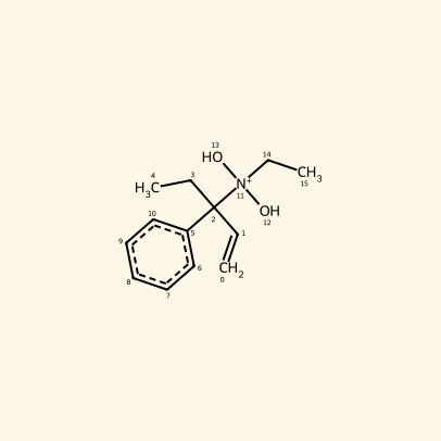 C=CC(CC)(c1ccccc1)[N+](O)(O)CC